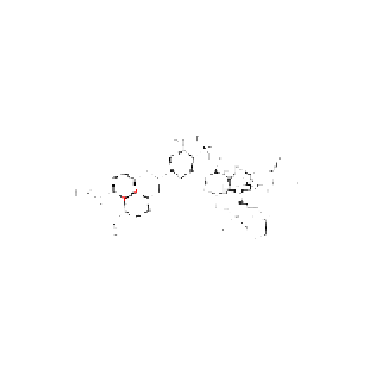 COc1ccc(CN(Cc2ccc(OC)cc2)c2cc(-c3nc4c5c(nc(NS(C)(=O)=O)nc5c3F)N3C[C@H]5CC[C@@H]([C@H]3[C@H](C)O4)N5C(=O)OC(C)(C)C)c(C(F)(F)F)c(C)c2F)cc1